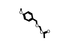 COc1ccc(COCOC(C)=O)cc1